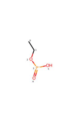 CCO[P+](=O)O